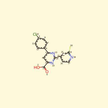 O=C(O)c1cc(-c2ccc(Cl)cc2)nc(-c2ccnc(F)c2)n1